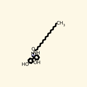 CCCCCCCCCCCCCCCCCC(=O)N/N=C\C1(c2ccc(O)cc2O)C=CC=CC1